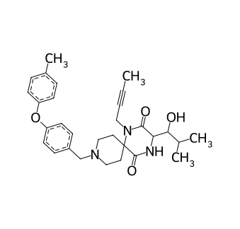 CC#CCN1C(=O)C(C(O)C(C)C)NC(=O)C12CCN(Cc1ccc(Oc3ccc(C)cc3)cc1)CC2